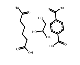 CC(O)CO.O=C(O)CCCCC(=O)O.O=C(O)c1ccc(C(=O)O)cc1